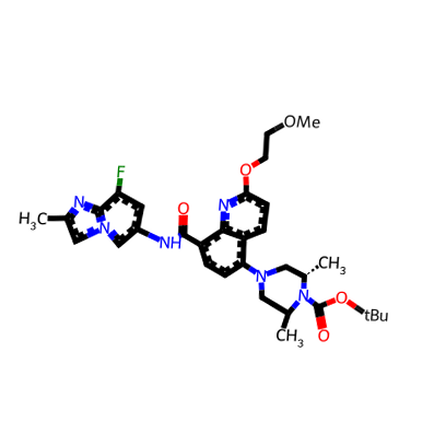 COCCOc1ccc2c(N3CC(C)N(C(=O)OC(C)(C)C)[C@@H](C)C3)ccc(C(=O)Nc3cc(F)c4nc(C)cn4c3)c2n1